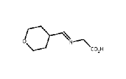 O=C(O)CN=CC1CCOCC1